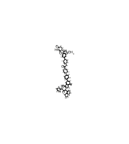 Cn1nc(N2CCC(=O)NC2O)c2ccc(C3CCN(CC(=O)N4CCN(c5ccc(-c6cc(F)c7c(c6)C(=O)N(C(C(=O)Nc6nccs6)c6ncn8c6CCC8)C7)cc5)CC4)CC3)cc21